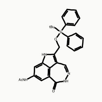 CC(=O)Nc1cc2c3c(c(CO[Si](c4ccccc4)(c4ccccc4)C(C)(C)C)[nH]c3c1)C=NNC2=O